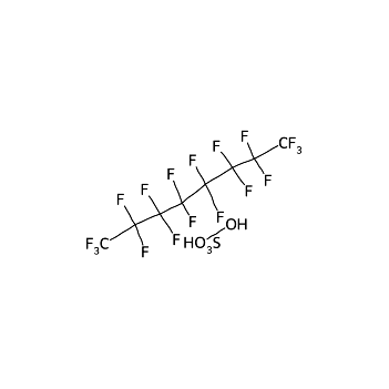 FC(F)(F)C(F)(F)C(F)(F)C(F)(F)C(F)(F)C(F)(F)C(F)(F)C(F)(F)F.O=S(=O)(O)O